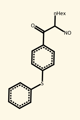 CCCCCCC(N=O)C(=O)c1ccc(Sc2ccccc2)cc1